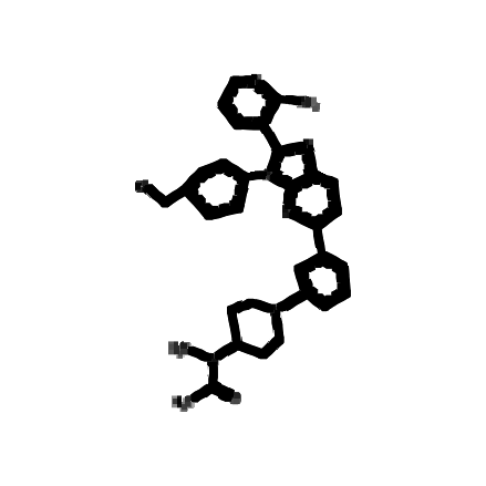 CC(=O)N(C)C1CCN(c2cccc(-c3ccc4nc(-c5cccnc5N)n(-c5ccc(CCl)cc5)c4n3)c2)CC1